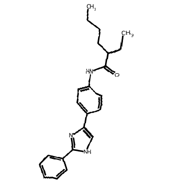 CCCCC(CC)C(=O)Nc1ccc(-c2c[nH]c(-c3ccccc3)n2)cc1